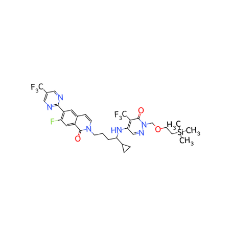 C[Si](C)(C)CCOCn1ncc(NC(CCCn2ccc3cc(-c4ncc(C(F)(F)F)cn4)c(F)cc3c2=O)C2CC2)c(C(F)(F)F)c1=O